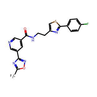 O=C(NCCc1csc(-c2ccc(F)cc2)n1)c1cncc(-c2noc(C(F)(F)F)n2)c1